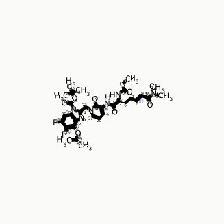 COC(=O)N[C@@H](CC/C=C/C(=O)N(C)C)C(=O)Nc1cccn(Cc2nc3c(OC(C)C)c(F)c(F)cc3n2C(=O)OC(C)(C)C)c1=O